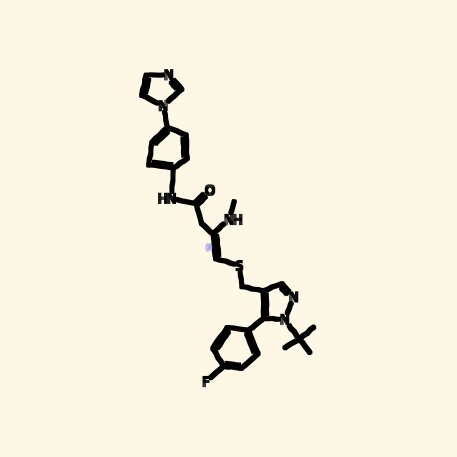 CN/C(=C\SCc1cnn(C(C)(C)C)c1-c1ccc(F)cc1)CC(=O)Nc1ccc(-n2ccnc2)cc1